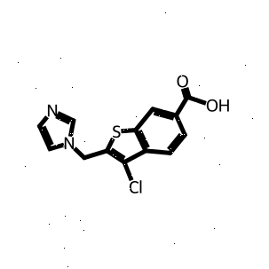 O=C(O)c1ccc2c(Cl)c(Cn3ccnc3)sc2c1